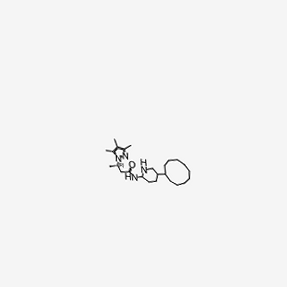 Cc1nn([C@H](C)CC(=O)NC2CCC(C3CCCCCCCCC3)CN2)c(C)c1C